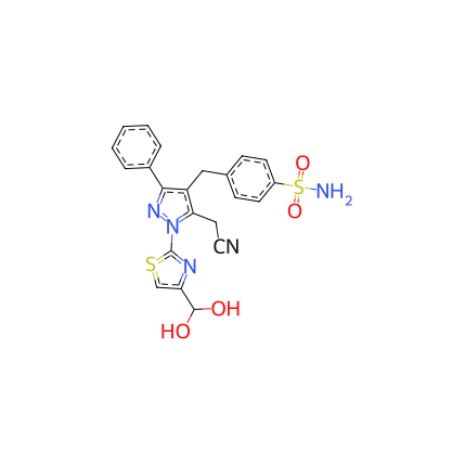 N#CCc1c(Cc2ccc(S(N)(=O)=O)cc2)c(-c2ccccc2)nn1-c1nc(C(O)O)cs1